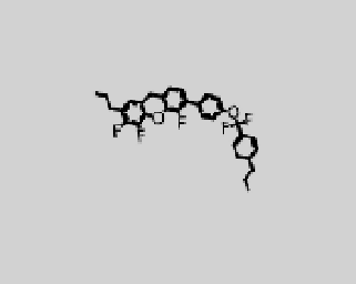 CCCc1cc2c(c(F)c1F)Oc1c(ccc(-c3ccc(OC(F)(F)C4=CCC(CCC)C=C4)cc3)c1F)C2